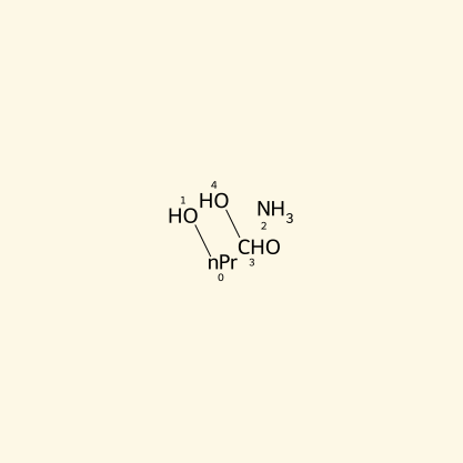 CCCO.N.O=CO